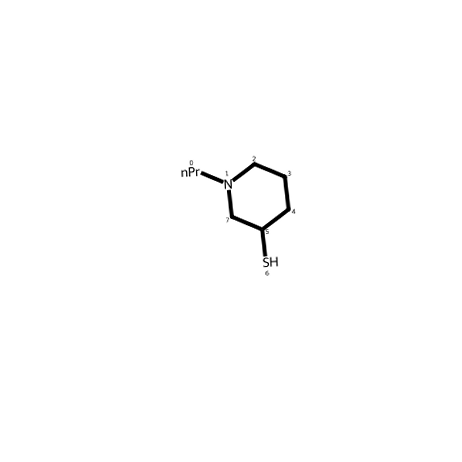 CCCN1CCCC(S)C1